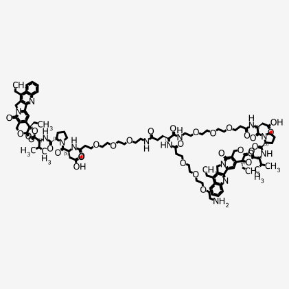 CCc1c2c(nc3ccccc13)-c1cc3c(c(=O)n1C2)COC(=O)[C@@]3(CC)OC(=O)[C@@H](NC(=O)[C@@H]1CCCN1C(=O)[C@H](CC(=O)O)NC(=O)CCOCCOCCOCCNC(=O)CC[C@H](NC(=O)CCOCCOCCOCCN)C(=O)NCCOCCOCCOCCC(=O)N[C@@H](CC(=O)O)C(=O)N1CCC[C@H]1C(=O)N[C@H](C(=O)O[C@]1(CC)C(=O)OCc2c1cc1n(c2=O)Cc2c-1nc1ccccc1c2CC)C(C)C)C(C)C